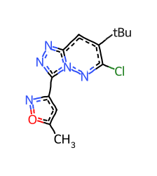 Cc1cc(-c2nnc3cc(C(C)(C)C)c(Cl)nn23)no1